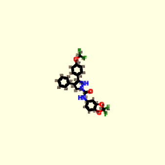 O=C(Nc1ccc2c(c1)OC(F)(F)O2)N1CC(c2ccccc2)=C(c2ccc(OC(F)F)cc2)N1